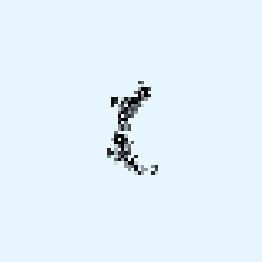 CC(CCC(=O)NC=O)NC(=O)c1ccc(CNCC2CCN(c3ncc(-c4cccc(Cl)c4)cc3C(F)(F)F)CC2)cc1F